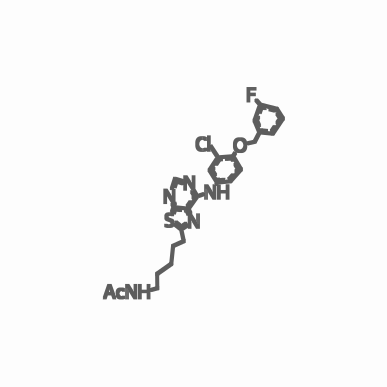 CC(=O)NCCCCCc1nc2c(Nc3ccc(OCc4cccc(F)c4)c(Cl)c3)ncnc2s1